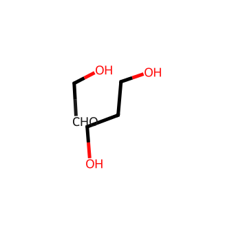 O=CCO.OCCCO